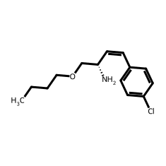 CCCCOC[C@@H](N)/C=C\c1ccc(Cl)cc1